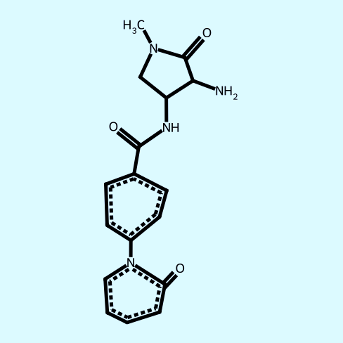 CN1CC(NC(=O)c2ccc(-n3ccccc3=O)cc2)C(N)C1=O